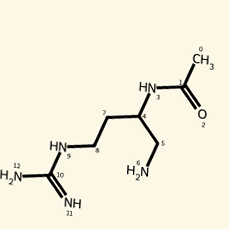 CC(=O)NC(CN)CCNC(=N)N